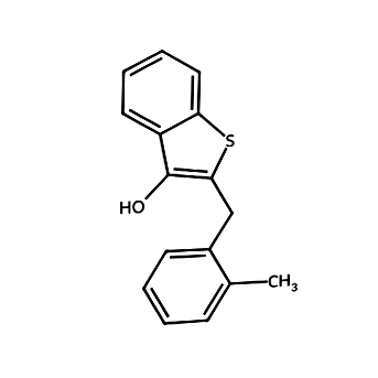 Cc1ccccc1Cc1sc2ccccc2c1O